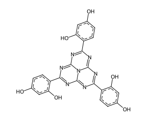 Oc1ccc(C2=NC3=NC(c4ccc(O)cc4O)=NC4=NC(c5ccc(O)cc5O)=NC(=N2)N34)c(O)c1